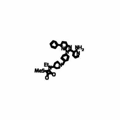 CCN(c1c(SC)c(=O)c1=O)C1CCN(Cc2ccc(-n3c(-c4cccnc4N)nc4ccc(-c5ccccc5)nc43)cc2)CC1